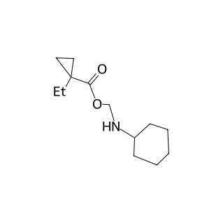 CCC1(C(=O)OCNC2CCCCC2)CC1